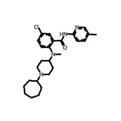 Cc1ccc(NC(=O)c2cc(Cl)ccc2N(C)C2CCN(C3CCCCCC3)CC2)nc1